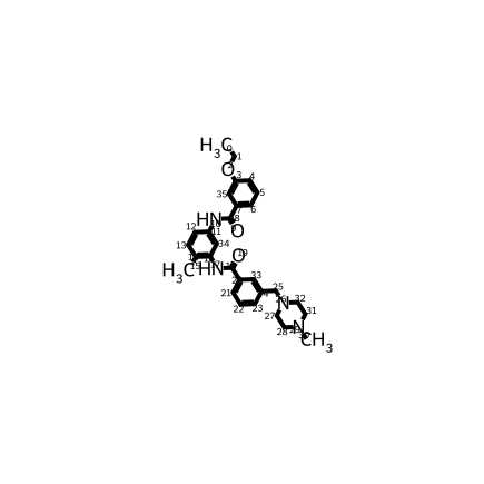 CCOc1cccc(C(=O)Nc2ccc(C)c(NC(=O)c3cccc(CN4CCN(C)CC4)c3)c2)c1